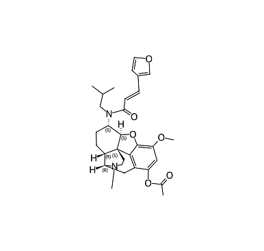 COc1cc(OC(C)=O)c2c3c1O[C@@H]1[C@@H](N(CC(C)C)C(=O)C=Cc4ccoc4)CC[C@H]4[C@@H](C2)N(C)CC[C@]314